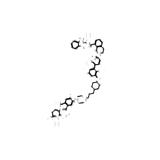 Cc1c(OC2CCC(CCCN3CCN(c4cc5c(cc4F)C(=O)N(C4CCC(=O)NC4=O)C5=O)CC3)CC2)cccc1-c1ccc(N2CCc3cccc(C(=O)Nc4nc5ccccc5s4)c3C2)nc1C(=O)O